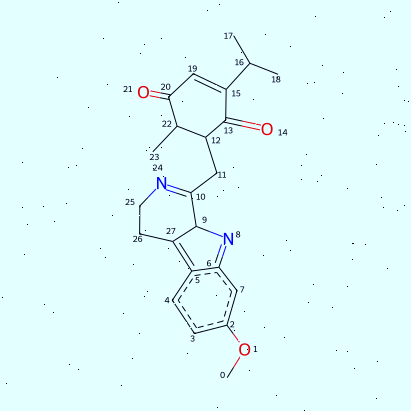 COc1ccc2c(c1)=NC1C(CC3C(=O)C(C(C)C)=CC(=O)C3C)=NCCC=21